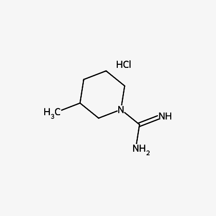 CC1CCCN(C(=N)N)C1.Cl